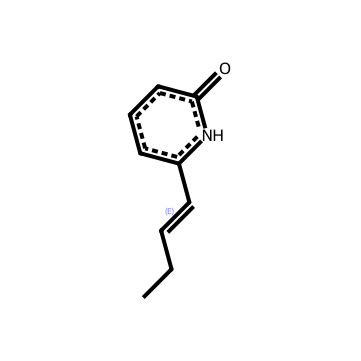 CC/C=C/c1cccc(=O)[nH]1